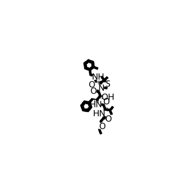 CCOCC(=O)N[C@H](C(=O)N[C@@H](Cc1ccccc1)[C@H](O)C(=O)N1CSC(C)(C)[C@H]1C(=O)NCc1ccccc1C)C(C)C